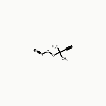 CC(C)(C#N)OON=N